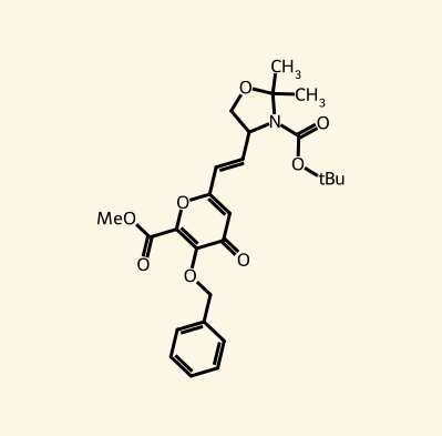 COC(=O)c1oc(/C=C/C2COC(C)(C)N2C(=O)OC(C)(C)C)cc(=O)c1OCc1ccccc1